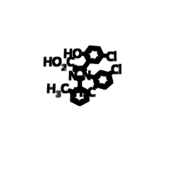 Cc1ccccc1-c1nc(C(=O)O)c(-c2cc(Cl)ccc2O)n1-c1cc(Cl)ccc1C